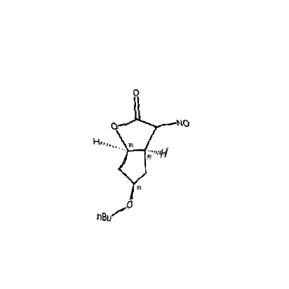 CCCCO[C@@H]1C[C@@H]2C(N=O)C(=O)O[C@@H]2C1